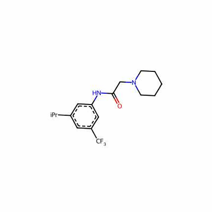 CC(C)c1cc(NC(=O)CN2CCCCC2)cc(C(F)(F)F)c1